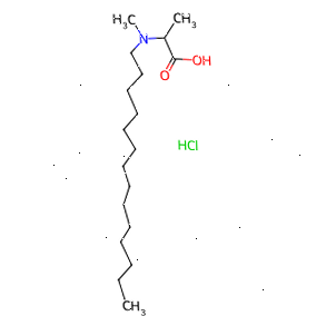 CCCCCCCCCCCCCCN(C)C(C)C(=O)O.Cl